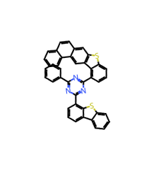 c1ccc(-c2nc(-c3cccc4c3sc3ccccc34)nc(-c3cccc4sc5cc6ccc7ccccc7c6cc5c34)n2)cc1